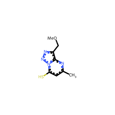 COCc1nnn2c(S)cc(C)nc12